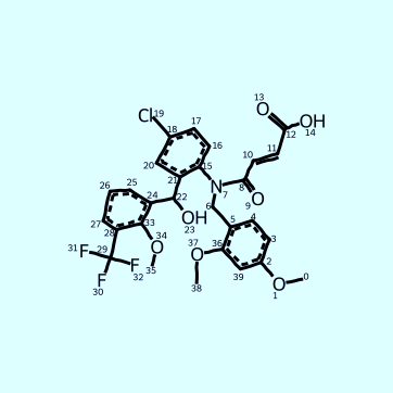 COc1ccc(CN(C(=O)/C=C/C(=O)O)c2ccc(Cl)cc2C(O)c2cccc(C(F)(F)F)c2OC)c(OC)c1